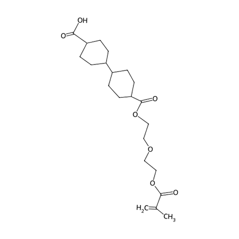 C=C(C)C(=O)OCCOCCOC(=O)C1CCC(C2CCC(C(=O)O)CC2)CC1